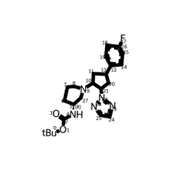 CC(C)(C)OC(=O)N[C@@H]1CCCN(C2CC(c3ccc(F)cc3)CC2n2nccn2)C1